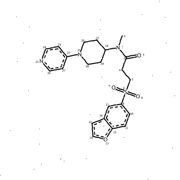 CN(C(=O)CCS(=O)(=O)c1ccc2occc2c1)C1CCN(c2ccncc2)CC1